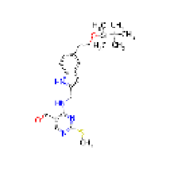 CSc1ncc(C=O)c(NCc2cc3cc(CCO[Si](C)(C)C(C)(C)C)ccc3[nH]2)n1